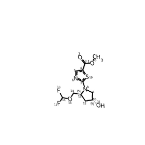 COC(=O)c1cnc(N2C[C@H](O)C[C@H]2COC(F)F)s1